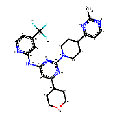 Cc1nccc(C2CCN(c3nc(Nc4cc(C(F)(F)F)ccn4)cc(C4CCOCC4)n3)CC2)n1